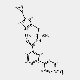 CC(C)(Cc1nnc(C2CC2)o1)NC(=O)c1cccc(-c2ccc(Cl)cc2)n1